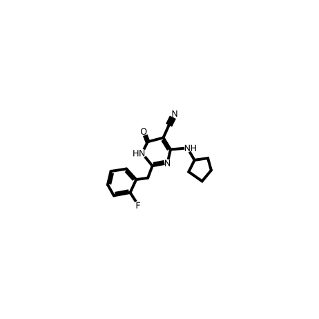 N#Cc1c(NC2CCCC2)nc(Cc2ccccc2F)[nH]c1=O